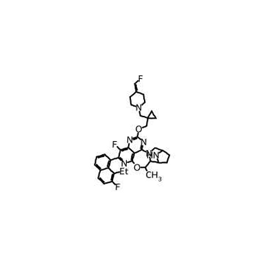 CCc1c(F)ccc2cccc(-c3nc4c5c(nc(OCC6(CN7CCC(=CF)CC7)CC6)nc5c3F)N3CC5CCC(N5)C3C(C)O4)c12